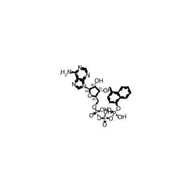 Cc1ccc(OP(=O)(O)OP(=O)(O)OP(=O)(O)OC[C@H]2O[C@@H](n3cnc4c(N)ncnc43)[C@H](O)[C@@H]2O)c2ccccc12